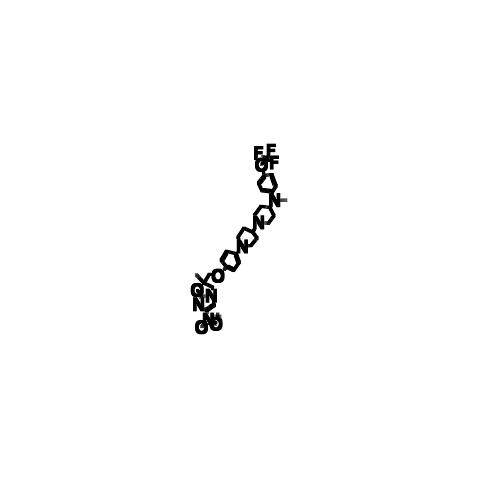 CN(c1ccc(OC(F)(F)F)cc1)C1CCN(C2CCN(c3ccc(OCC4(C)Cn5cc([N+](=O)[O-])nc5O4)cc3)CC2)CC1